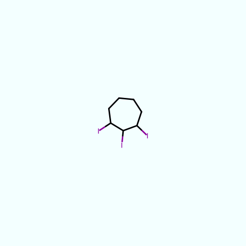 IC1CCCCC(I)C1I